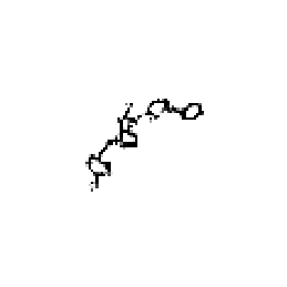 O=c1nc2n(Cc3ccc(Cl)nc3)cccc-2n1-c1ccn(-c2ccccc2)n1